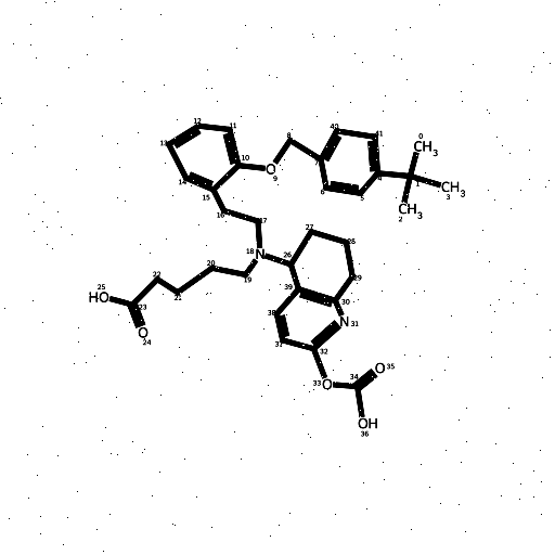 CC(C)(C)c1ccc(COc2ccccc2CCN(CCCCC(=O)O)C2CCCc3nc(OC(=O)O)ccc32)cc1